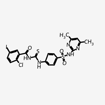 Cc1cc(C)nc(NS(=O)(=O)c2ccc(NC(=S)NC(=O)c3cc(I)ccc3Cl)cc2)n1